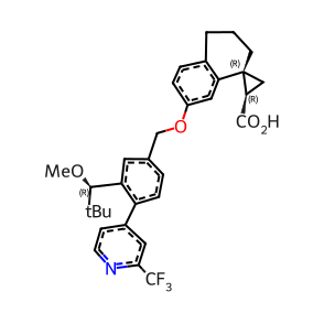 CO[C@@H](c1cc(COc2ccc3c(c2)[C@]2(CCC3)C[C@H]2C(=O)O)ccc1-c1ccnc(C(F)(F)F)c1)C(C)(C)C